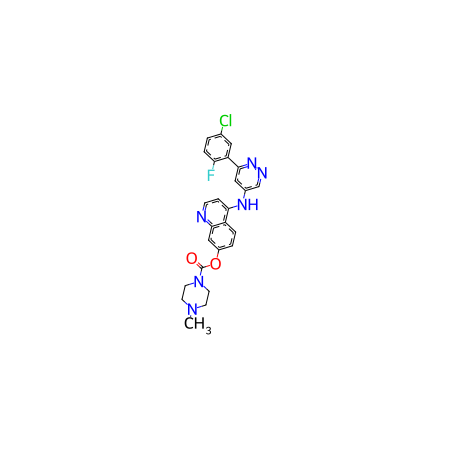 CN1CCN(C(=O)Oc2ccc3c(Nc4cnnc(-c5cc(Cl)ccc5F)c4)ccnc3c2)CC1